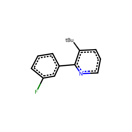 CC(C)(C)c1cccnc1-c1cccc(F)c1